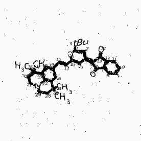 CC(C)(C)C1=CC(=C2C(=O)c3ccccc3C2=O)C=C(C=Cc2cc3c4c(c2)C(C)(C)CCN4CCC3(C)C)O1